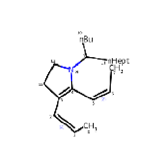 C/C=C\C1=C(/C=C\C)N(C(CCCC)CCCCCCC)CC1